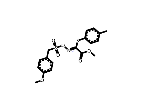 COC(=O)/C(=N/OS(=O)(=O)Cc1ccc(OC)cc1)Sc1ccc(C)cc1